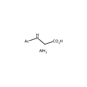 CC(=O)NCC(=O)O.[AlH3]